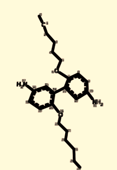 CCCCCCOc1ccc(N)cc1-c1cc(N)ccc1OCCCCCC